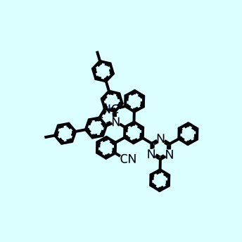 Cc1ccc(-c2ccc3c(c2)c2cc(-c4ccc(C)cc4)ccc2n3-c2c(-c3ccccc3C#N)cc(-c3nc(-c4ccccc4)nc(-c4ccccc4)n3)cc2-c2ccccc2C#N)cc1